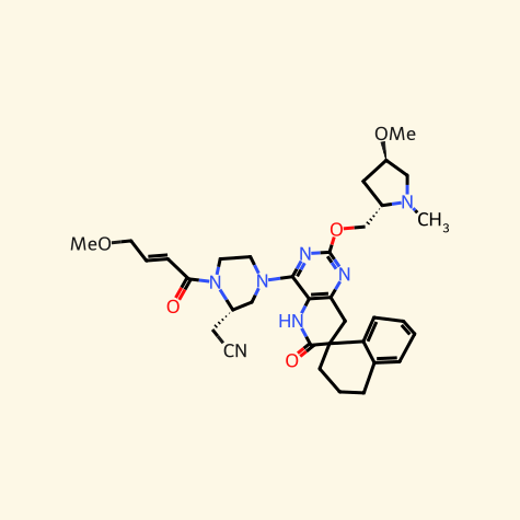 COC/C=C/C(=O)N1CCN(c2nc(OC[C@@H]3C[C@@H](OC)CN3C)nc3c2NC(=O)C2(CCCc4ccccc42)C3)C[C@@H]1CC#N